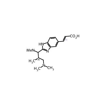 CNC(c1nc2cc(/C=C/C(=O)O)ccc2[nH]1)[C@H](C)CN(C)C